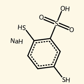 O=S(=O)(O)c1cc(S)ccc1S.[NaH]